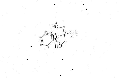 CC(C)(CO)CO.c1ccccc1